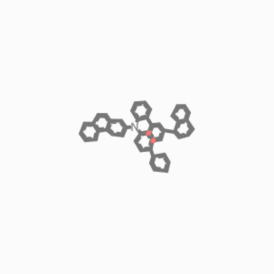 c1ccc(-c2ccc(N(c3ccc4c(ccc5ccccc54)c3)c3ccccc3-c3cccc(-c4cccc5ccccc45)c3)cc2)cc1